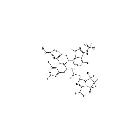 CCOc1ccc2c(n1)N=C([C@H](Cc1cc(F)cc(F)c1)NC(=O)Cn1nc(C(F)F)c3c1C(F)(F)[C@@H]1C[C@H]31)N(c1ccc(Cl)c3c(NS(C)(=O)=O)nn(C)c13)C2